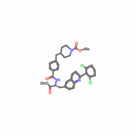 COC(=O)[C@H](Cc1ccc2nc(-c3c(Cl)cccc3Cl)ccc2c1)NC(=O)c1ccc(CC2CCN(C(=O)OC(C)(C)C)CC2)cc1